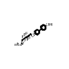 CCCCOCC(F)(F)C(F)(F)C(F)(F)COc1ccc(-c2ccc(O)cc2)cc1